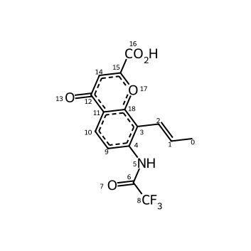 CC=Cc1c(NC(=O)C(F)(F)F)ccc2c(=O)cc(C(=O)O)oc12